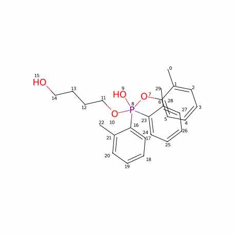 Cc1ccccc1OP(O)(OCCCCO)(c1ccccc1C)c1ccccc1C